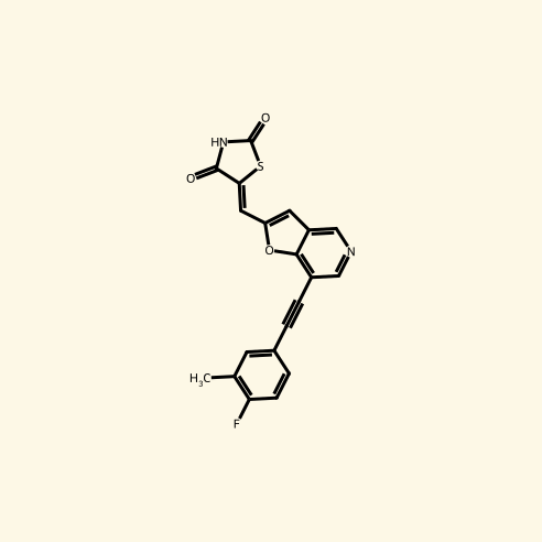 Cc1cc(C#Cc2cncc3cc(/C=C4\SC(=O)NC4=O)oc23)ccc1F